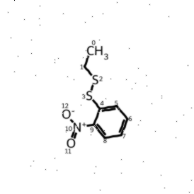 CCSSc1ccccc1[N+](=O)[O-]